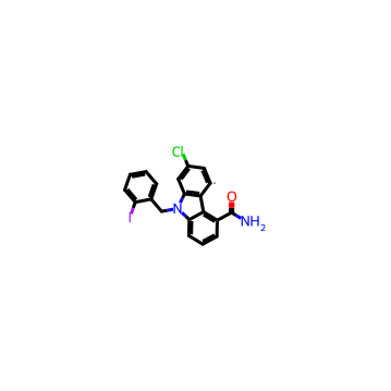 NC(=O)c1cccc2c1c1[c]cc(Cl)cc1n2Cc1ccccc1I